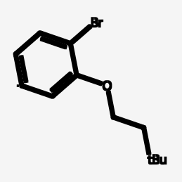 CC(C)(C)CCOc1c[c]ccc1Br